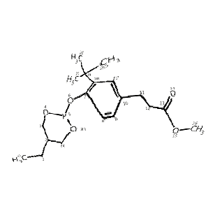 CCC1COP(Oc2ccc(CCC(=O)OC)cc2C(C)(C)C)OC1